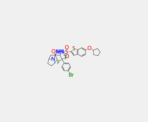 NC1CC2CCC(C1)N2C(=O)[C@@H](NS(=O)(=O)c1cc2ccc(OC3CCCC3)cc2s1)C(F)(F)c1ccc(Br)cc1